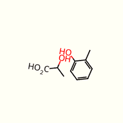 CC(O)C(=O)O.Cc1ccccc1O